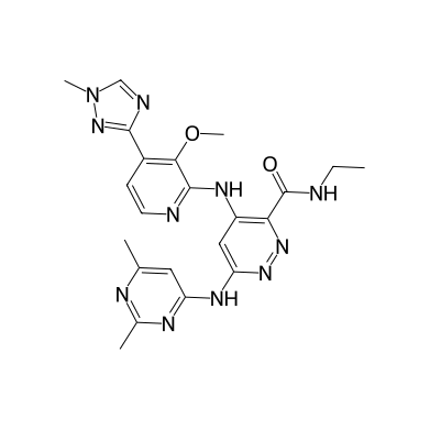 CCNC(=O)c1nnc(Nc2cc(C)nc(C)n2)cc1Nc1nccc(-c2ncn(C)n2)c1OC